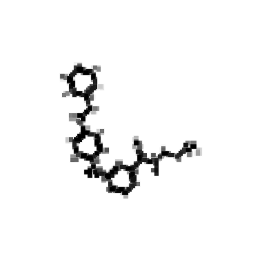 O=C(NCCC(F)(F)F)c1cccc(Nc2ccc(OCc3ccccn3)cc2)c1